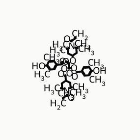 C=CC(=O)N1C(C)(C)CC(OC(=O)C(OC(=O)c2cc(C)c(O)c(C)c2)(OC(=O)c2cc(C)c(O)c(C)c2)OC(=O)C2CC(C)(C)N(C(=O)C=C)C(C)(C)C2)CC1(C)C